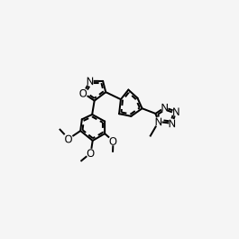 COc1cc(-c2oncc2-c2ccc(-c3nnnn3C)cc2)cc(OC)c1OC